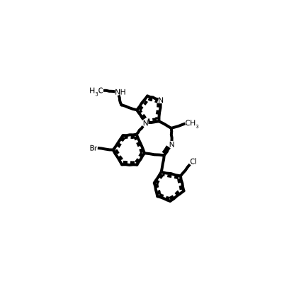 CNCc1cnc2n1-c1cc(Br)ccc1C(c1ccccc1Cl)=NC2C